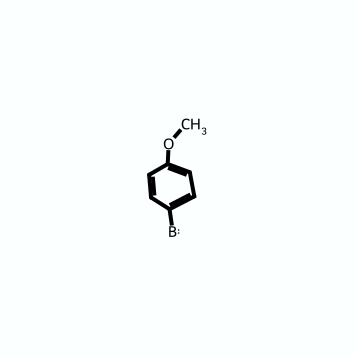 [B]c1ccc(OC)cc1